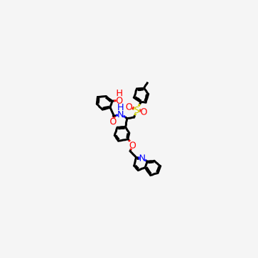 Cc1ccc(S(=O)(=O)CC(NC(=O)c2ccccc2O)c2cccc(OCc3ccc4ccccc4n3)c2)cc1